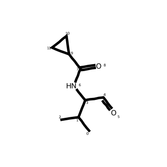 CC(C)C(C=O)NC(=O)C1CC1